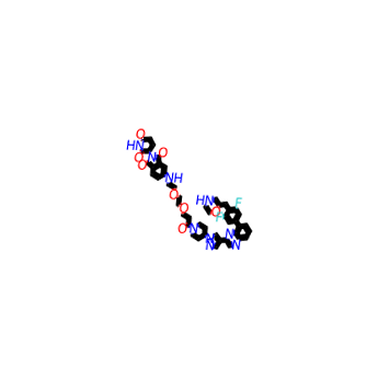 O=C1CCC(N2C(=O)c3ccc(NCCOCCOCCC(=O)N4CCC(n5cc(-c6cnc7cccc(-c8cc(F)c(CC9CNCCO9)c(F)c8)c7n6)cn5)CC4)cc3C2=O)C(=O)N1